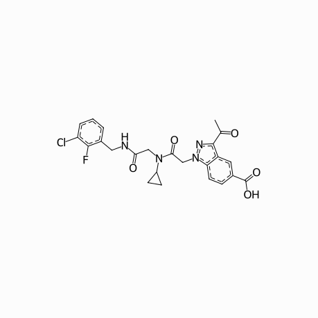 CC(=O)c1nn(CC(=O)N(CC(=O)NCc2cccc(Cl)c2F)C2CC2)c2ccc(C(=O)O)cc12